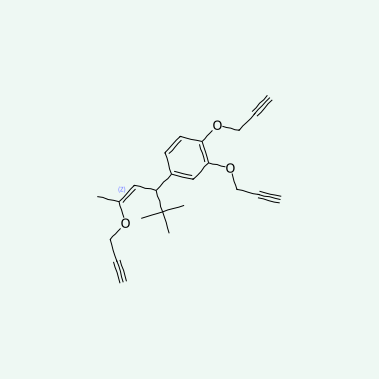 C#CCO/C(C)=C\C(c1ccc(OCC#C)c(OCC#C)c1)C(C)(C)C